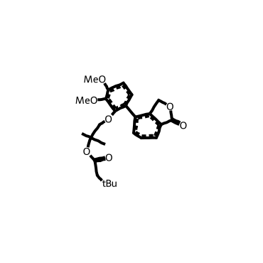 COc1ccc(-c2cccc3c2COC3=O)c(OCC(C)(C)OC(=O)CC(C)(C)C)c1OC